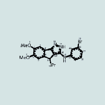 COc1cc2c(cc1OC)C(C(C)C)c1c-2n[nH]c1Nc1cccc(Br)c1